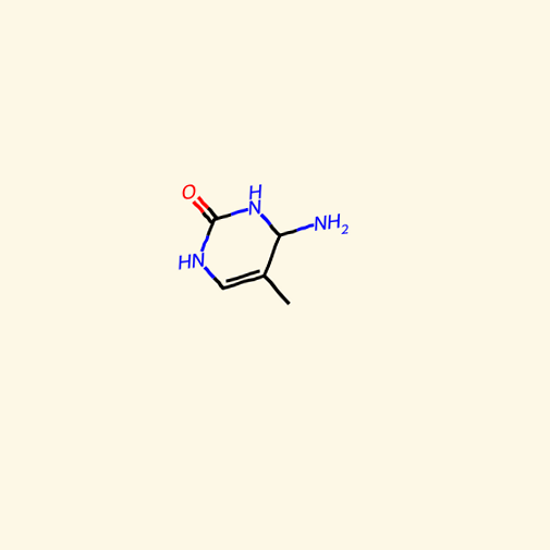 CC1=CNC(=O)NC1N